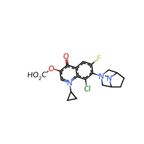 CN1C2CCC1CN(c1c(F)cc3c(=O)c(OC(=O)O)cn(C4CC4)c3c1Cl)C2